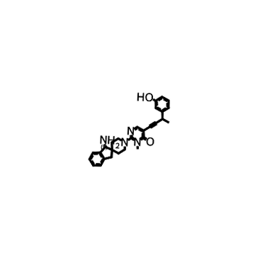 CC(C#Cc1cnc(N2CCC3(CC2)Cc2ccccc2[C@H]3N)n(C)c1=O)c1cccc(O)c1